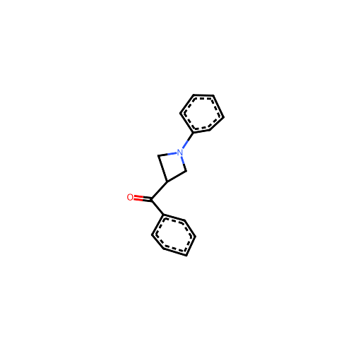 O=C(c1ccccc1)C1CN(c2ccccc2)C1